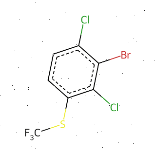 FC(F)(F)Sc1ccc(Cl)c(Br)c1Cl